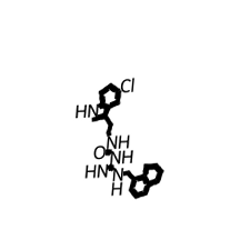 N=C(NCc1cccc2ccccc12)NC(=O)NCCc1c[nH]c2ccc(Cl)cc12